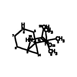 CC(C)(C)C12CNCCC1(NC(=O)O)C2